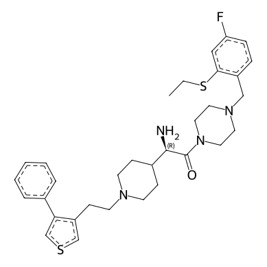 CCSc1cc(F)ccc1CN1CCN(C(=O)[C@H](N)C2CCN(CCc3cscc3-c3ccccc3)CC2)CC1